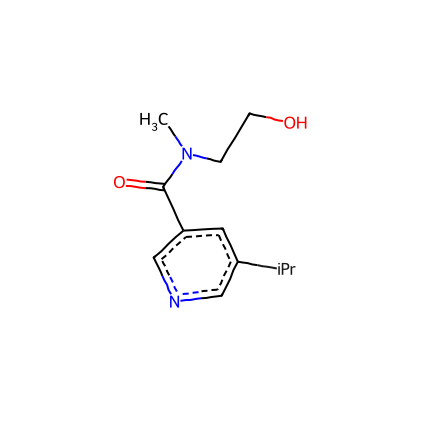 CC(C)c1cncc(C(=O)N(C)CCO)c1